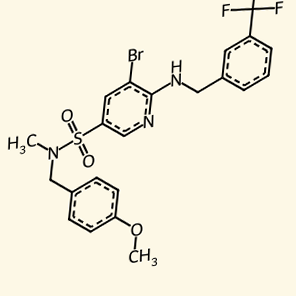 COc1ccc(CN(C)S(=O)(=O)c2cnc(NCc3cccc(C(F)(F)F)c3)c(Br)c2)cc1